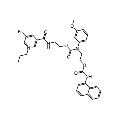 CCC[n+]1cc(Br)cc(C(=O)NCCOC(=O)N(CCOC(=O)Nc2cccc3ccccc23)c2cccc(OC)c2)c1